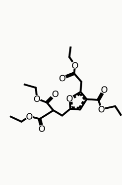 CCOC(=O)Cc1oc(CC(C(=O)OCC)C(=O)OCC)cc1C(=O)OCC